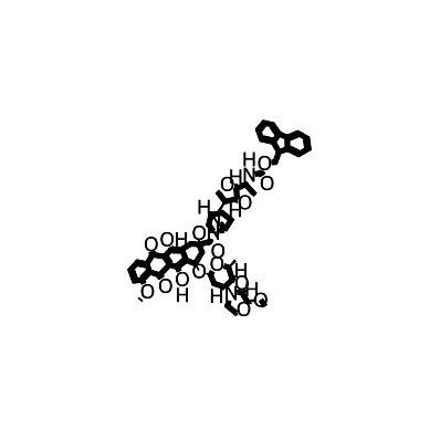 COc1cccc2c1C(=O)c1c(O)c3c(c(O)c1C2=O)C[C@@](O)(C(=O)N1C[C@@H]2CCC1CN2[C@H]1CO[C@H]2[C@@H]1OC[C@@H]2NC(=O)OCC1c2ccccc2-c2ccccc21)C[C@@H]3O[C@H]1C[C@H]2[C@H](O[C@@H]3[C@@H](OC)OCCN32)[C@H](C)O1